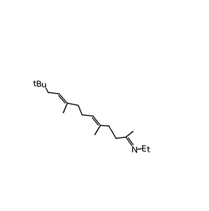 CC/N=C(\C)CC/C(C)=C/CC/C(C)=C/CC(C)(C)C